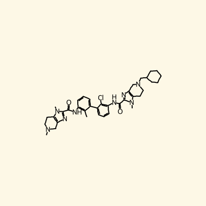 Cc1c(NC(=O)c2nc3c(n2C)CCN(C)C3)cccc1-c1cccc(NC(=O)c2nc3c(n2C)CCN(CC2CCCCC2)C3)c1Cl